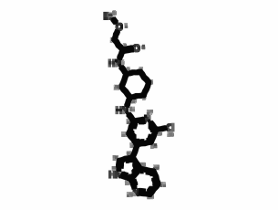 CCOCC(=O)NC1CCCC(Nc2cc(-c3c[nH]c4ncccc34)cc(Cl)n2)C1